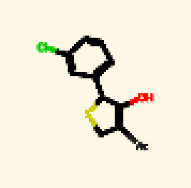 CC(=O)C1=C(O)C(c2cccc(Cl)c2)SC1